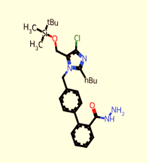 CCCCc1nc(Cl)c(CO[Si](C)(C)C(C)(C)C)n1Cc1ccc(-c2ccccc2C(=O)NN)cc1